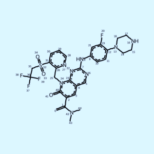 C=C(c1cc2cnc(Nc3ccc(N4CCNCC4)c(F)c3)nc2n(Cc2ncccc2S(=O)(=O)CC(F)(F)F)c1=O)N(C)C